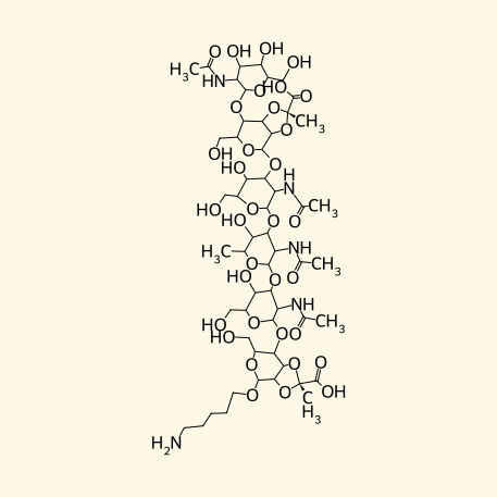 CC(=O)NC1C(OC2C(CO)OC(OC3C(O)C(CO)OC(OC4C(O)C(C)OC(OC5C(O)C(CO)OC(OC6C(CO)OC(OCCCCCN)C7O[C@@](C)(C(=O)O)OC67)C5NC(C)=O)C4NC(C)=O)C3NC(C)=O)C3O[C@@](C)(C(=O)O)OC23)OC(CO)C(O)C1O